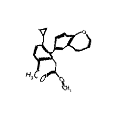 COC(=O)Cc1c(C)ccc(C2CC2)c1-c1ccc2c(c1)CCCO2